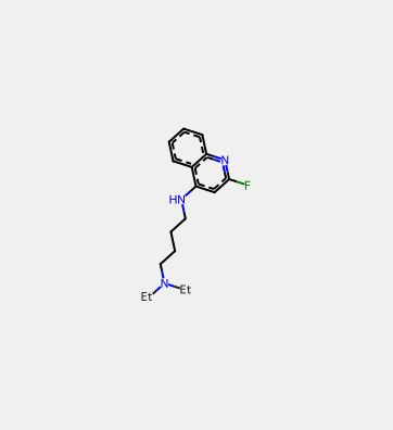 CCN(CC)CCCCNc1cc(F)nc2ccccc12